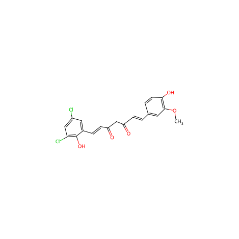 COc1cc(C=CC(=O)CC(=O)C=Cc2cc(Cl)cc(Cl)c2O)ccc1O